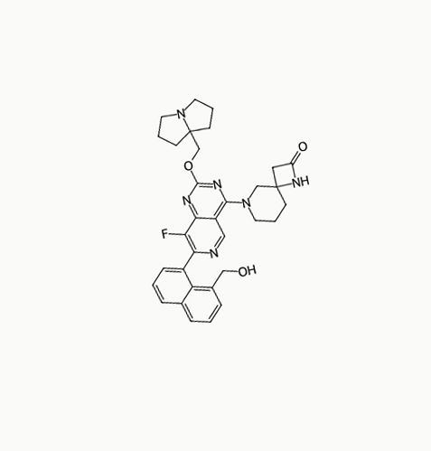 O=C1CC2(CCCN(c3nc(OCC45CCCN4CCC5)nc4c(F)c(-c5cccc6cccc(CO)c56)ncc34)C2)N1